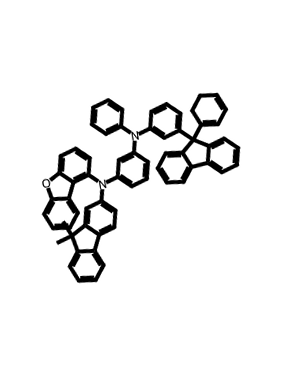 CC1(C)c2ccccc2-c2ccc(N(c3cccc(N(c4ccccc4)c4cccc(C5(C6=CC=CCC6)c6ccccc6-c6ccccc65)c4)c3)c3cccc4oc5ccccc5c34)cc21